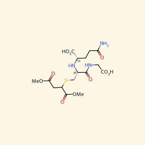 COC(=O)CC(SC[C@H](N[C@@H](CCC(N)=O)C(=O)O)C(=O)NCC(=O)O)C(=O)OC